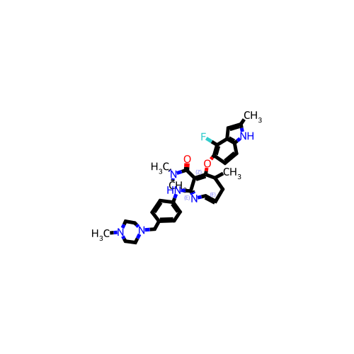 Cc1cc2c(F)c(O/C3=C(C(=O)N(C)C)/C(Nc4ccc(CN5CCN(C)CC5)cc4)=N\C=C\CC3C)ccc2[nH]1